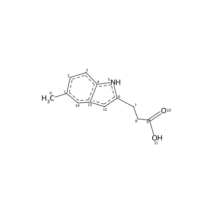 Cc1ccc2[nH]c(CCC(=O)O)cc2c1